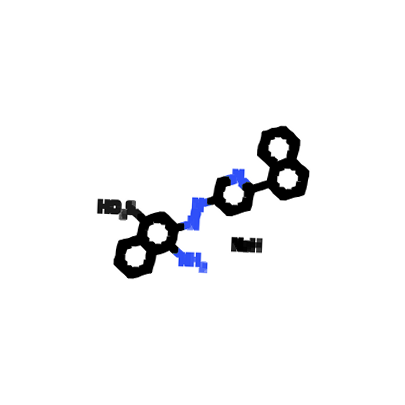 Nc1c(N=Nc2ccc(-c3cccc4ccccc34)nc2)cc(S(=O)(=O)O)c2ccccc12.[NaH]